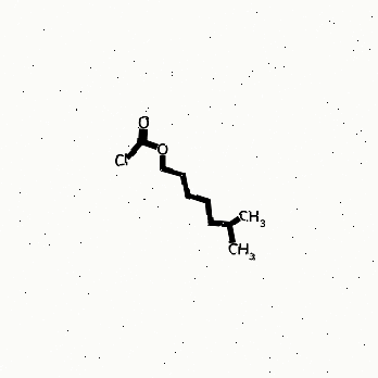 CC(C)CCCCCOC(=O)Cl